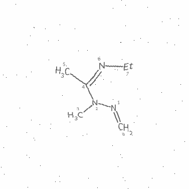 C=NN(C)/C(C)=N\CC